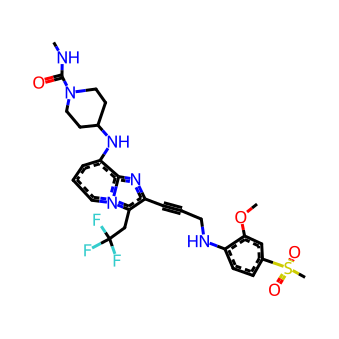 CNC(=O)N1CCC(Nc2cccn3c(CC(F)(F)F)c(C#CCNc4ccc(S(C)(=O)=O)cc4OC)nc23)CC1